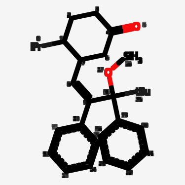 CC(C)C1CCC(=O)CC1C=C(c1ccccc1)C(O[SiH3])(c1ccccc1)C(C)(C)C